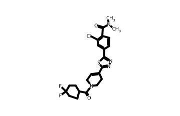 CN(C)C(=O)c1ccc(-c2nnc(C3=CCN(C(=O)C4CCC(F)(F)CC4)CC3)s2)cc1Cl